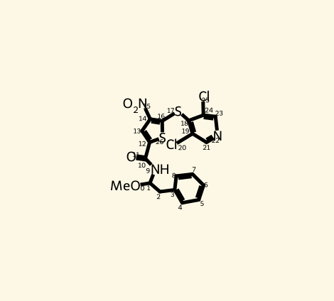 COC(Cc1ccccc1)NC(=O)c1cc([N+](=O)[O-])c(Sc2c(Cl)cncc2Cl)s1